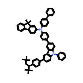 CC(C)(C)CC(c1ccc(-c2ccc3c(c2)c2cc(-c4ccc(N(c5ccc(-c6ccccc6)cc5)c5ccc6c(c5)C(C)(C)c5ccccc5-6)cc4)ccc2n3-c2ccccc2)cc1)C(C)(C)C